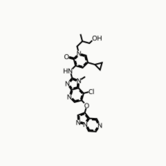 CC(CO)Cn1cc(C2CC2)cc(Nc2nc3ncc(Oc4cnn5ccncc45)c(Cl)c3n2C)c1=O